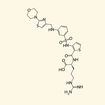 N=C(N)NCCC[C@H](NC(=O)c1sccc1NS(=O)(=O)c1cccc(NCc2csc(N3CCOCC3)n2)c1)C(=O)O